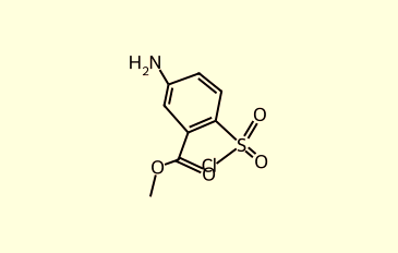 COC(=O)c1cc(N)ccc1S(=O)(=O)Cl